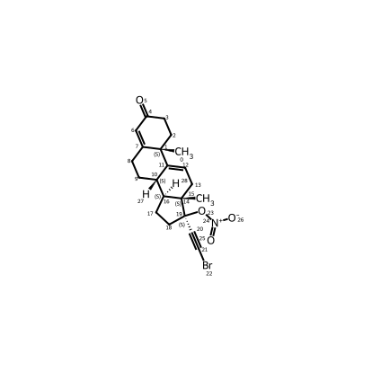 C[C@]12CCC(=O)C=C1CC[C@@H]1C2=CC[C@@]2(C)[C@H]1CC[C@]2(C#CBr)O[N+](=O)[O-]